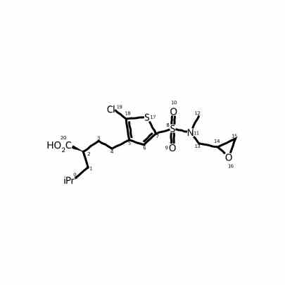 CC(C)C[C@H](CCc1cc(S(=O)(=O)N(C)CC2CO2)sc1Cl)C(=O)O